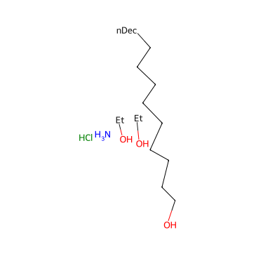 CCCCCCCCCCCCCCCCCCCO.CCO.CCO.Cl.N